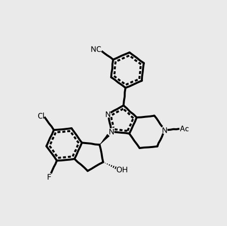 CC(=O)N1CCc2c(c(-c3cccc(C#N)c3)nn2[C@@H]2c3cc(Cl)cc(F)c3C[C@H]2O)C1